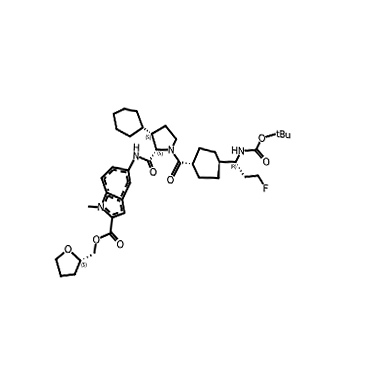 Cn1c(C(=O)OC[C@@H]2CCCO2)cc2cc(NC(=O)[C@@H]3[C@H](C4CCCCC4)CCN3C(=O)[C@H]3CC[C@H]([C@@H](CCF)NC(=O)OC(C)(C)C)CC3)ccc21